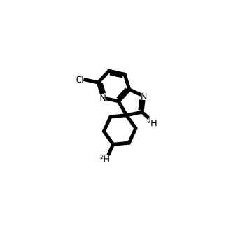 [2H]C1=Nc2ccc(Cl)nc2C12CCC([2H])CC2